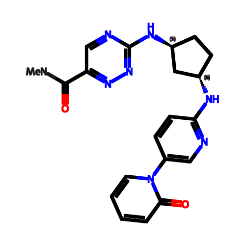 CNC(=O)c1cnc(N[C@H]2CC[C@H](Nc3ccc(-n4ccccc4=O)cn3)C2)nn1